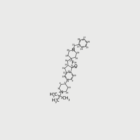 CC(C)(C)N1CCC(c2ccc3c(c2)CC(CC2(F)CCN(Cc4ccccc4)CC2)C3=O)CC1